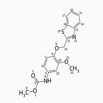 COC(=O)Nc1ccc(OCc2nc3ccccc3s2)c(OC)c1